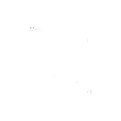 COc1cc(F)c(COCl)c(F)c1